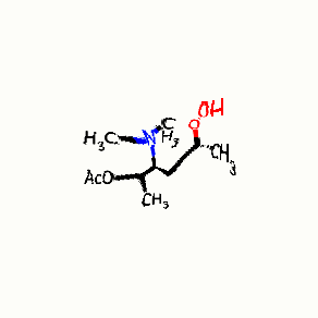 CC(=O)OC(C)[C@H](C[C@@H](C)OO)N(C)C